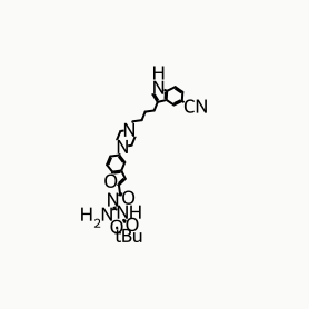 CC(C)(C)OC(=O)NC(N)=NC(=O)c1cc2cc(N3CCN(CCCCc4c[nH]c5ccc(C#N)cc45)CC3)ccc2o1